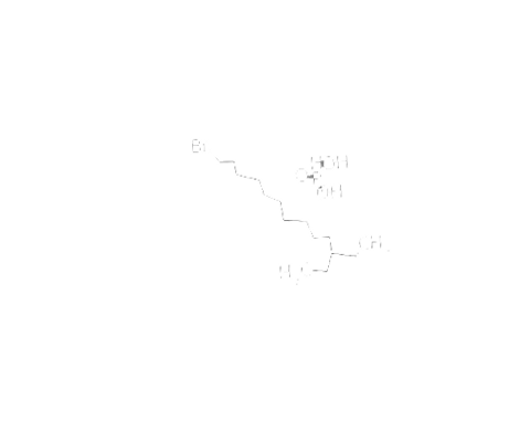 CCC(CC)CCCCCCCCCCBr.O=[PH](O)O